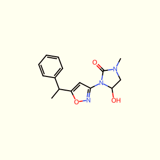 CC(c1ccccc1)c1cc(N2C(=O)N(C)CC2O)no1